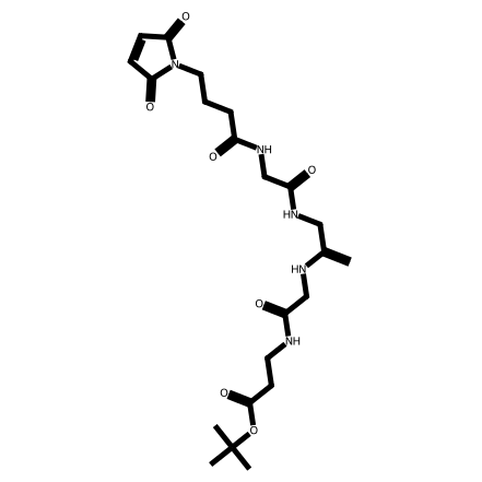 C=C(CNC(=O)CNC(=O)CCCN1C(=O)C=CC1=O)NCC(=O)NCCC(=O)OC(C)(C)C